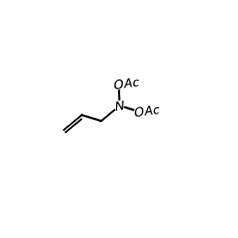 C=CCN(OC(C)=O)OC(C)=O